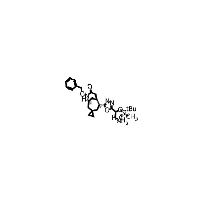 CC(C)(C)[Si](C)(C)OC(CN)c1nnc([C@@H]2CC3(CC3)C[C@@H]3CC2=CC(=O)N3OCc2ccccc2)o1